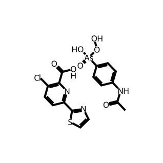 CC(=O)Nc1ccc([As](=O)(O)OO)cc1.O=C(O)c1nc(-c2nccs2)ccc1Cl